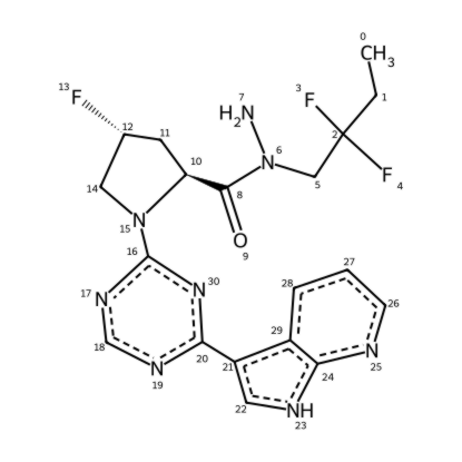 CCC(F)(F)CN(N)C(=O)[C@@H]1C[C@@H](F)CN1c1ncnc(-c2c[nH]c3ncccc23)n1